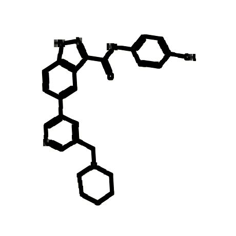 O=C(Nc1ccc(O)cc1)c1n[nH]c2ccc(-c3cncc(CN4CCCCC4)c3)cc12